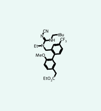 CCOC(=O)Cc1ccc(OC)c(-c2ccc(C(F)(F)F)cc2CN(CC)/C(=N/C#N)NCC(C)(C)C)c1